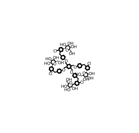 OC[C@H]1O[C@H](c2ccc(Cl)c(Cc3ccc(OCc4cc(COc5ccc(Cc6cc([C@@H]7O[C@H](CO)[C@@H](O)[C@H](O)[C@H]7O)ccc6Cl)cc5)c(COc5ccc(Cc6cc([C@@H]7O[C@H](CO)[C@@H](O)[C@H](O)[C@H]7O)ccc6Cl)cc5)cc4COc4ccc(Cc5cc(C6O[C@H](CO)[C@@H](O)[C@H](O)[C@H]6O)ccc5Cl)cc4)cc3)c2)[C@H](O)[C@@H](O)[C@@H]1O